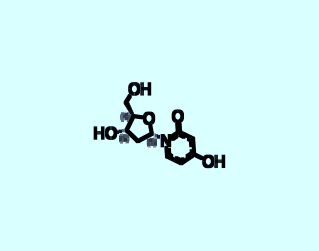 O=c1cc(O)ccn1[C@@H]1C[C@H](O)[C@@H](CO)O1